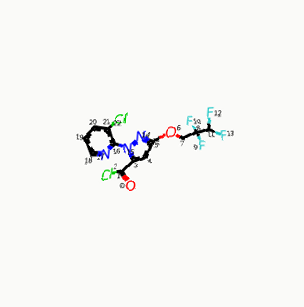 O=C(Cl)c1cc(OCC(F)(F)C(F)F)nn1-c1ncccc1Cl